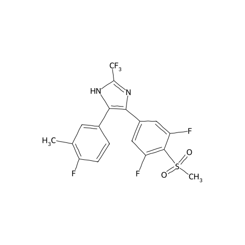 Cc1cc(-c2[nH]c(C(F)(F)F)nc2-c2cc(F)c(S(C)(=O)=O)c(F)c2)ccc1F